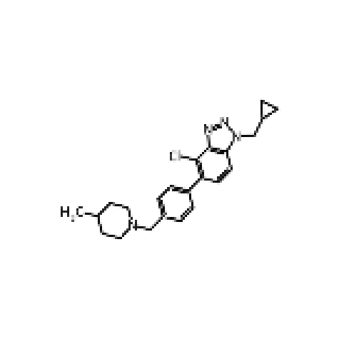 CC1CCN(Cc2ccc(-c3ccc4c(nnn4CC4CC4)c3Cl)cc2)CC1